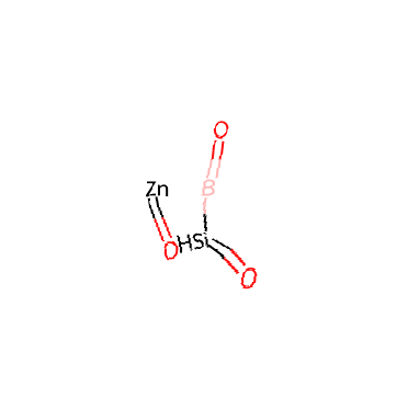 O=B[SiH]=O.[O]=[Zn]